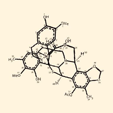 COc1cc2c(cc1O)CCN[C@]21CS[C@@H]2c3c(OC(C)=O)c(C)c4c(c3[C@H](COC1=O)N1C2C2c3c(cc(C)c(OC)c3O)C[C@@H]([C@@H]1O)N2C)OCO4